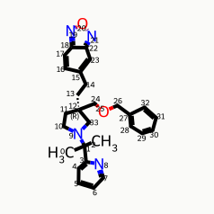 CC(C)(c1ccccn1)N1CC[C@@](CCc2ccc3nonc3c2)(COCc2ccccc2)C1